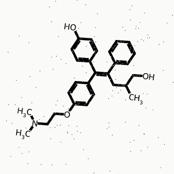 CC(CO)CC(=C(c1ccc(O)cc1)c1ccc(OCCN(C)C)cc1)c1ccccc1